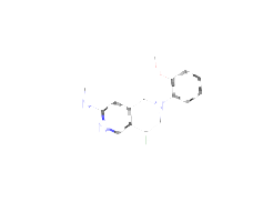 CNc1cc2c(cn1)CCN(c1ccccc1OC)C2.Cl